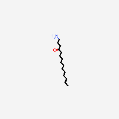 CCCCCCCCCCCC(=O)[CH]CCN